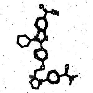 CN(C)C(=O)c1ccc(N2CCC[C@H]2COc2ccc(-c3nc4cc(C(=O)O)ccc4n3C3CCCCC3)cc2)cc1